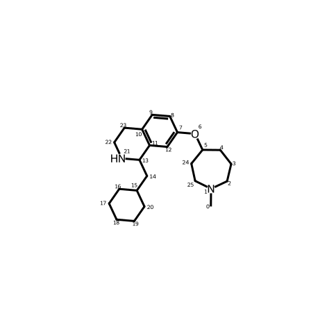 CN1CCCC(Oc2ccc3c(c2)C(CC2CCCCC2)NCC3)CC1